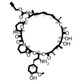 C#CCOC(=O)NC1C[C@@H]2CC[C@@H](C)[C@@](O)(O2)C(=O)C(=O)N2CCCC[C@H]2C(=O)O[C@H]([C@H](N)C[C@@H]2CC[C@@H](O)[C@H](OC)C2)CC(=O)[C@H](C)/C=C(\C)[C@@H](O)[C@@H](O)C(=O)[C@H](C)C[C@H](C)/C=C/C=C/C=C/1C